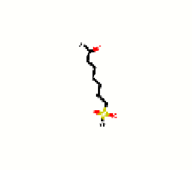 CC(=O)CCCCCCS(C)(=O)=O